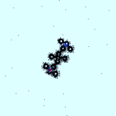 C1=CCC(C2CC=C(c3ccccc3)N2c2ccc(-c3ccc4c(-c5ccccc5)c5cc(-c6ccc(-n7c(-c8ccccc8)ccc7-c7ccccc7)cc6)ccc5c(-c5ccccc5)c4c3)cc2)C=C1